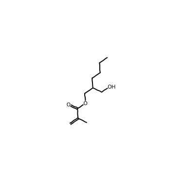 C=C(C)C(=O)OCC(CO)CCCC